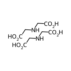 O=C(O)CNCC(=O)O.O=C(O)CNCC(=O)O